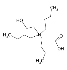 CCCC[N+](CCO)(CCCC)CCCC.O=CO